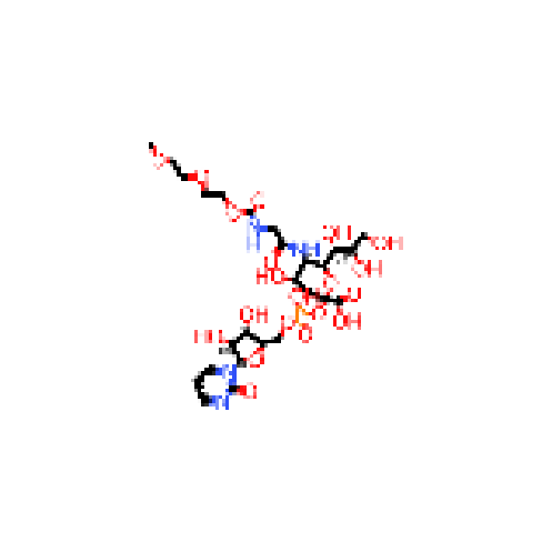 COCCOCCOC(=O)NCC(=O)N[C@H]1C([C@H](O)[C@H](O)CO)O[C@](OP(=O)(O)OCC2O[C@@H](n3cccnc3=O)[C@H](O)[C@@H]2O)(C(=O)O)C[C@H]1O